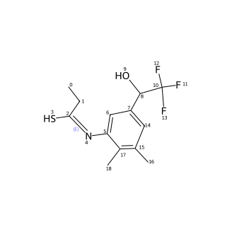 CC/C(S)=N\c1cc(C(O)C(F)(F)F)cc(C)c1C